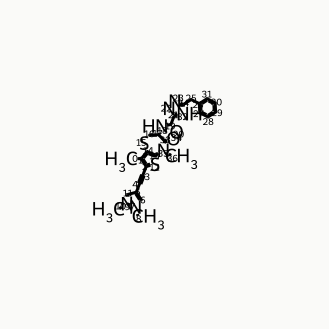 Cc1c(C#CC2=CN(C)N(C)C2)sc2c1SC[C@H](NC(=O)c1nnc(Cc3ccccc3)[nH]1)C(=O)N2C